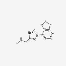 CNCc1cn(-c2cccc3c2CCC3)nn1